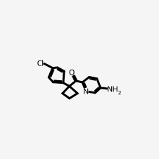 Nc1ccc(C(=O)C2(c3ccc(Cl)cc3)CCC2)nc1